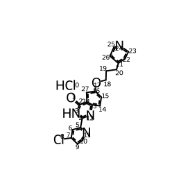 Cl.O=c1[nH]c(-c2cc(Cl)ccn2)nc2ccc(OCCCc3ccncc3)cc12